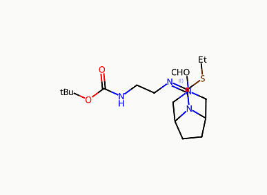 CCS/C(=N/CCNC(=O)OC(C)(C)C)N1C2CCC1CN(C=O)C2